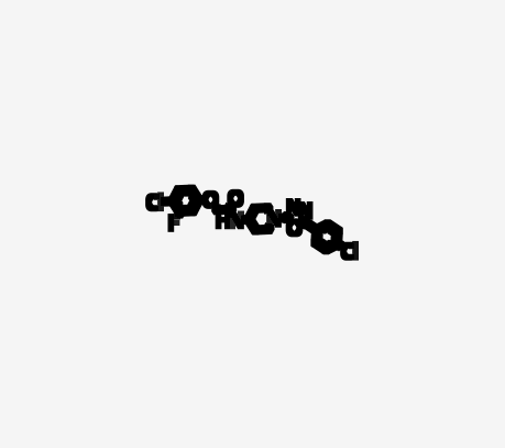 O=C(COc1ccc(Cl)c(F)c1)NC1CCN(c2nnc(-c3ccc(Cl)cc3)o2)CC1